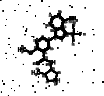 COc1ncc(-c2cc(C(F)(F)F)c3c(N)ncnn23)cc1C(=O)N[C@H]1CNC[C@H]1C